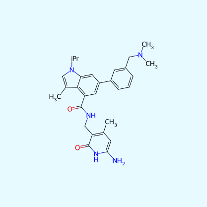 Cc1cc(N)[nH]c(=O)c1CNC(=O)c1cc(-c2cccc(CN(C)C)c2)cc2c1c(C)cn2C(C)C